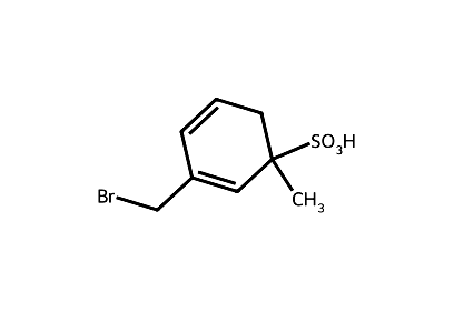 CC1(S(=O)(=O)O)C=C(CBr)C=CC1